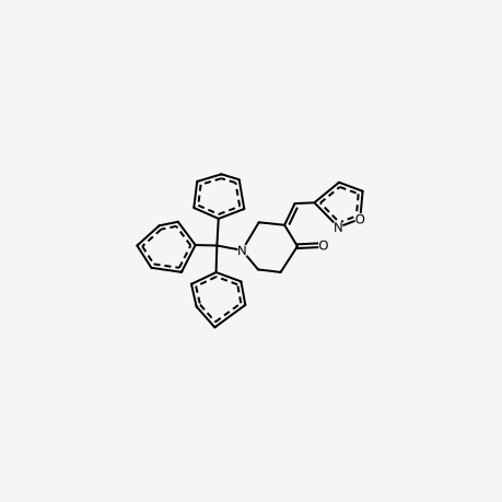 O=C1CCN(C(c2ccccc2)(c2ccccc2)c2ccccc2)CC1=Cc1ccon1